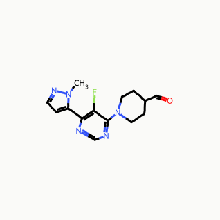 Cn1nccc1-c1ncnc(N2CCC(C=O)CC2)c1F